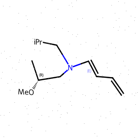 C=C/C=C/N(CC(C)C)C[C@@H](C)OC